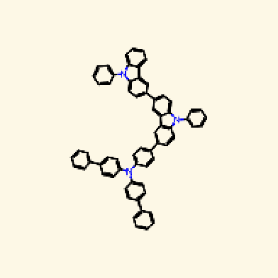 c1ccc(-c2ccc(N(c3ccc(-c4ccccc4)cc3)c3ccc(-c4ccc5c(c4)c4cc(-c6ccc7c(c6)c6ccccc6n7-c6ccccc6)ccc4n5-c4ccccc4)cc3)cc2)cc1